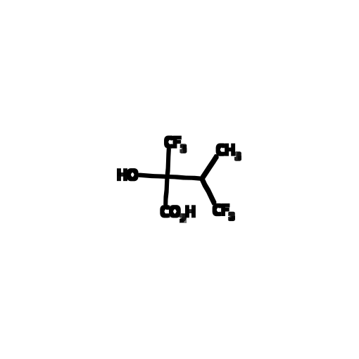 CC(C(F)(F)F)C(O)(C(=O)O)C(F)(F)F